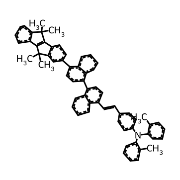 Cc1ccccc1N(c1ccc(/C=C/c2ccc(-c3ccc(-c4ccc5c(c4)C(C)(C)C4=C5C(C)(C)c5ccccc54)c4ccccc34)c3ccccc23)cc1)c1ccccc1C